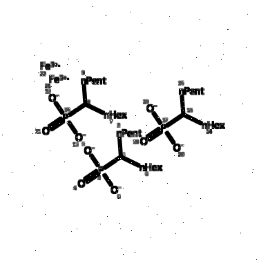 CCCCCCC(CCCCC)P(=O)([O-])[O-].CCCCCCC(CCCCC)P(=O)([O-])[O-].CCCCCCC(CCCCC)P(=O)([O-])[O-].[Fe+3].[Fe+3]